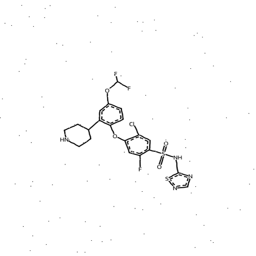 O=S(=O)(Nc1ncns1)c1cc(Cl)c(Oc2ccc(OC(F)F)cc2C2CCNCC2)cc1F